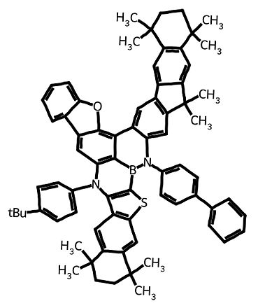 CC(C)(C)c1ccc(N2c3cc4c(oc5ccccc54)c4c3B(c3sc5cc6c(cc5c32)C(C)(C)CCC6(C)C)N(c2ccc(-c3ccccc3)cc2)c2cc3c(cc2-4)-c2cc4c(cc2C3(C)C)C(C)(C)CCC4(C)C)cc1